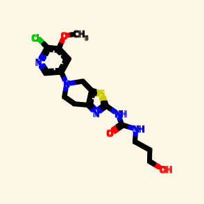 COc1cc(N2CCc3nc(NC(=O)NCCCO)sc3C2)cnc1Cl